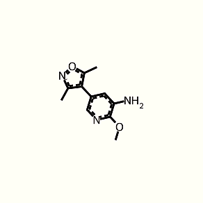 COc1ncc(-c2c(C)noc2C)cc1N